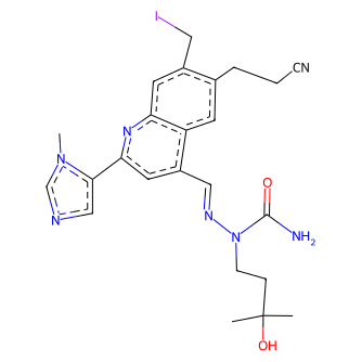 Cn1cncc1-c1cc(/C=N/N(CCC(C)(C)O)C(N)=O)c2cc(CCC#N)c(CI)cc2n1